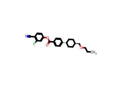 CCCOC[C@H]1CC[C@H](c2ccc(C(=O)Oc3ccc(C#N)c(F)c3)cc2)CC1